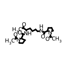 CC(=O)C(CCCCNC(=O)C1CCCN1C(C)=O)NC(=O)C1CCCN1C(C)=O